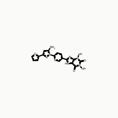 CCCn1c(=O)c2[nH]c(-c3ccc(-n4nc(-c5ccco5)cc4N)nc3)nc2n(CCC)c1=O